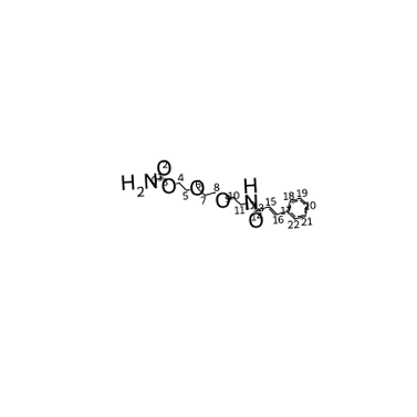 NC(=O)OCCOCCOCCNC(=O)/C=C/c1ccccc1